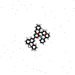 c1ccc(-c2ccccc2N(c2cccc(-c3cc4c5c(cccc5c3)Oc3ccccc3-4)c2)c2ccccc2-c2cccc3ccccc23)cc1